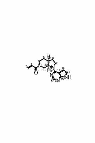 C=CC(=O)N1CC[C@@H]2CCN(c3ncnc4[nH]ccc34)[C@H]2C1